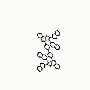 C1=Cc2c(nc(C3=CC=C(C4=CC=C(c5nc6c(c7nc(-c8ccc9ccccc9c8)c(-c8ccc9ccccc9c8)n57)C=CCC6)CC4)CC3)n3c(-c4ccc5ccccc5c4)c(-c4ccc5ccccc5c4)nc23)CC1